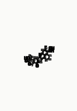 CC[C@@]1(O)C(=O)OCc2c1cc1n(c2=O)Cc2c-1nc1cc(F)c(NO)c3c1c2CCC3